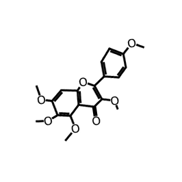 COc1ccc(-c2oc3cc(OC)c(OC)c(OC)c3c(=O)c2OC)cc1